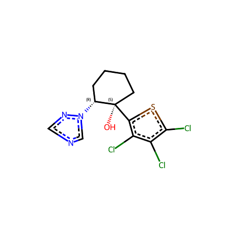 O[C@@]1(c2sc(Cl)c(Cl)c2Cl)CCCC[C@H]1n1cncn1